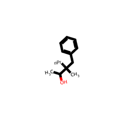 CCCC(C)(Cc1ccccc1)C(C)O